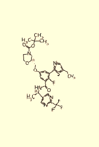 CCc1cnc(-c2cc(OC[C@H]3CN(C(=O)OC(C)(C)C)CCO3)cc(C(=O)N[C@H](C)c3cnc(C(F)(F)F)nc3)c2F)s1